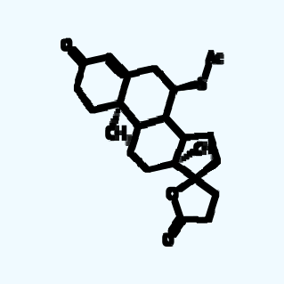 CC(=O)S[C@@H]1CC2=CC(=O)CC[C@]2(C)C2CC[C@@]3(C)C(CC[C@]34CCC(=O)O4)C21